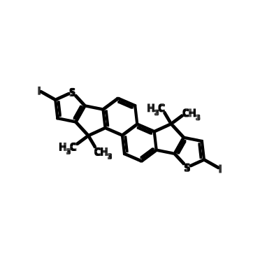 CC1(C)c2cc(I)sc2-c2ccc3c4c(ccc3c21)-c1sc(I)cc1C4(C)C